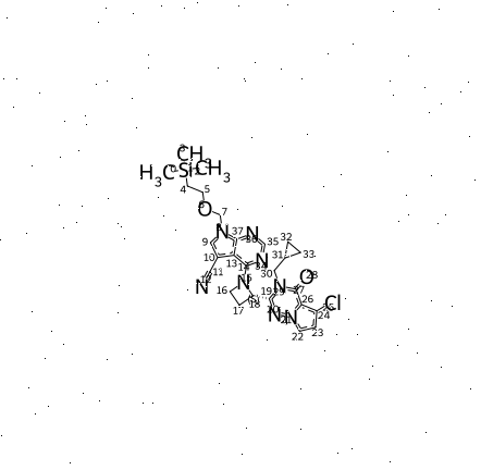 C[Si](C)(C)CCOCn1cc(C#N)c2c(N3CC[C@H]3c3nn4ccc(Cl)c4c(=O)n3CC3CC3)ncnc21